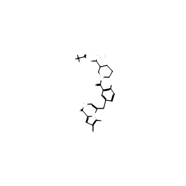 NC(OC(=O)C(F)(F)F)C1CCCN(C(=O)c2cc(Cc3c[nH]c(=O)c4cc(Cl)c(Cl)n34)ccc2F)C1